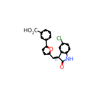 O=C1Nc2ccc(Cl)cc2/C1=C\c1ccc(-c2cccc(C(=O)O)c2)o1